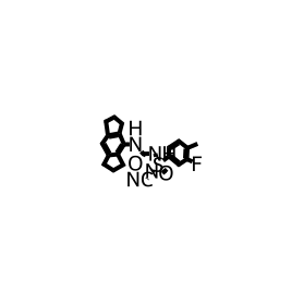 Cc1ccc(S(=O)(=NC#N)NC(=O)Nc2c3c(cc4c2CCC4)CCC3)cc1F